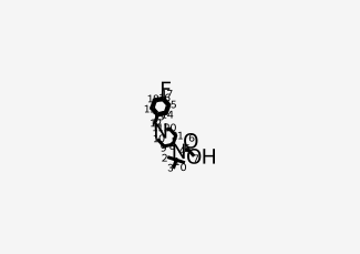 CC(C)(C)N(C(=O)O)C1CCN(Cc2ccc(F)cc2)CC1